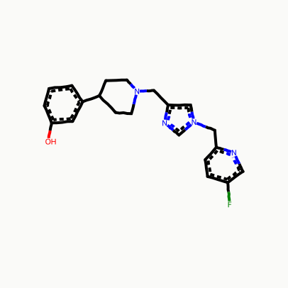 Oc1cccc(C2CCN(Cc3cn(Cc4ccc(F)cn4)cn3)CC2)c1